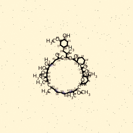 CO[C@H]1C[C@@H]2CC[C@@H](C)[C@@](O)(O2)C(=O)C(=O)N2CCCCC2C(=O)O[C@H]([C@H](C)C[C@@H]2CC[C@@H](O)[C@H](OC)C2)CC(=O)C/C=C(\C)[C@@H](O)[C@@H](OC)C(=O)[C@H](C)C[C@H](C)/C=C/C=C/C=C/1C